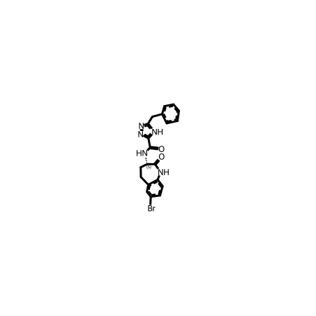 O=C(N[C@H]1CCc2cc(Br)ccc2NC1=O)c1nnc(Cc2ccccc2)[nH]1